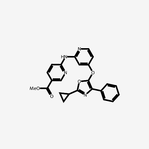 COC(=O)c1ccc(Nc2cc(Oc3oc(C4CC4)nc3-c3ccccc3)ccn2)nc1